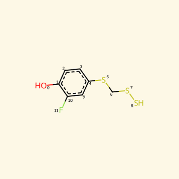 Oc1ccc(SCSS)cc1F